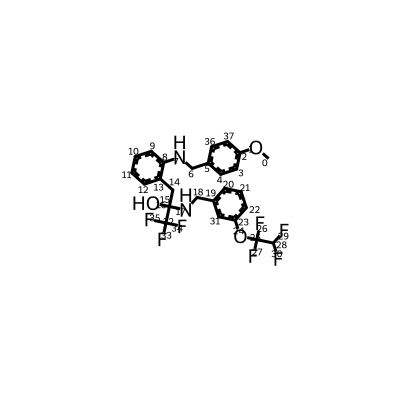 COc1ccc(CNc2ccccc2CC(O)(NCc2cccc(OC(F)(F)C(F)F)c2)C(F)(F)F)cc1